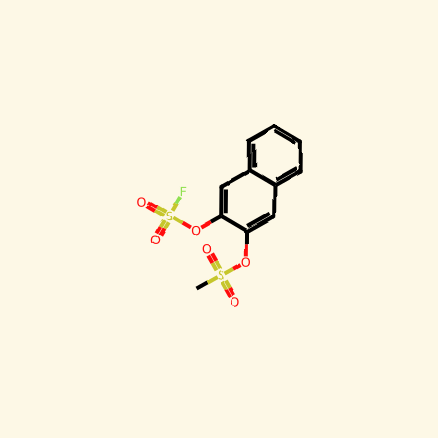 CS(=O)(=O)Oc1cc2ccccc2cc1OS(=O)(=O)F